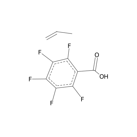 C=CC.O=C(O)c1c(F)c(F)c(F)c(F)c1F